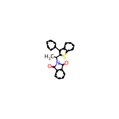 CC(c1sc2ccccc2c1-c1ccccc1)N1C(=O)c2ccccc2C1=O